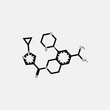 CC(C)c1cc2c(c([C@@H]3COCCN3)c1)CN(C(=O)c1cnn(C3CC3)c1)CC2